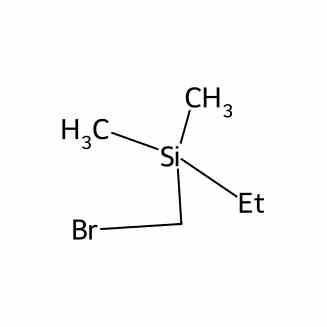 CC[Si](C)(C)CBr